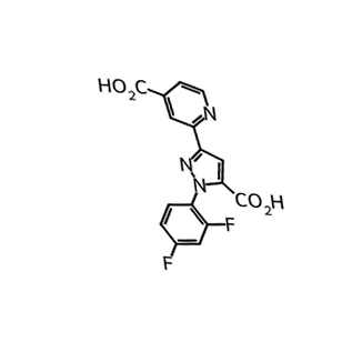 O=C(O)c1ccnc(-c2cc(C(=O)O)n(-c3ccc(F)cc3F)n2)c1